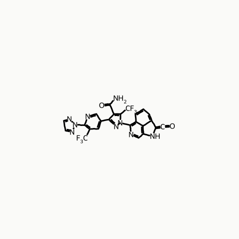 NC(=O)c1c(-c2cnc(-n3nccn3)c(C(F)(F)F)c2)nn(-c2ncc3[nH]c(=C=O)c4cccc2c34)c1C(F)(F)F